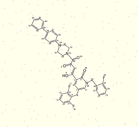 O=C(C=C(O)c1cc(Cc2c(F)cccc2F)cn(Cc2ccccc2F)c1=O)C(=O)N1CCN(c2ccc(-c3ccccc3)cc2)CC1